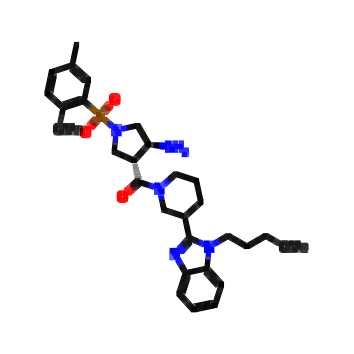 COCCCn1c(C2CCCN(C(=O)[C@@H]3CN(S(=O)(=O)c4cc(C)ccc4OC)C[C@H]3N)C2)nc2ccccc21